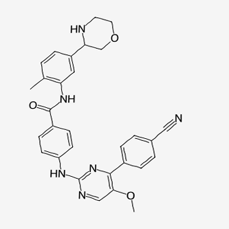 COc1cnc(Nc2ccc(C(=O)Nc3cc(C4COCCN4)ccc3C)cc2)nc1-c1ccc(C#N)cc1